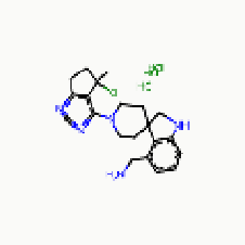 CC1(Cl)CCc2ncnc(N3CCC4(CC3)CNc3cccc(CN)c34)c21.Cl.Cl.Cl